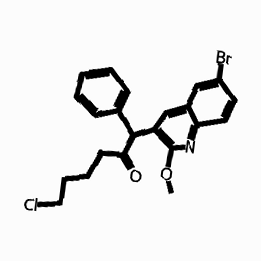 COc1nc2ccc(Br)cc2cc1C(C(=O)CCCCCl)c1ccccc1